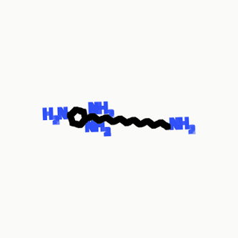 NCCCCCCCCCCCC(N)C1(N)CCC(N)CC1